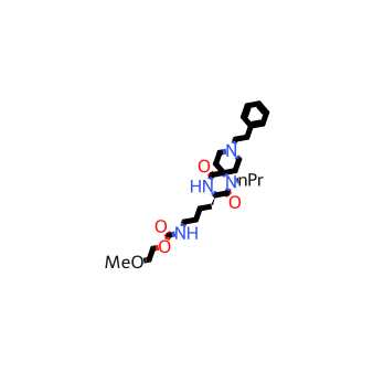 CCCN1C(=O)[C@H](CCCCNC(=O)OCCOC)NC(=O)C12CCN(CCc1ccccc1)CC2